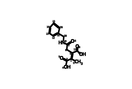 CC(C(=O)O)=C(CC(=O)NCc1ccccc1)C(=O)O